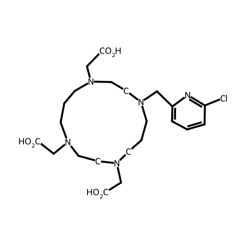 O=C(O)CN1CCCN(CC(=O)O)CCN(Cc2cccc(Cl)n2)CCCN(CC(=O)O)CC1